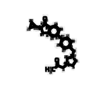 CC(=O)CN1CCN(Cc2ccc(-c3ccc4c(c3)CN(C3CC3)C4=O)cc2)C1